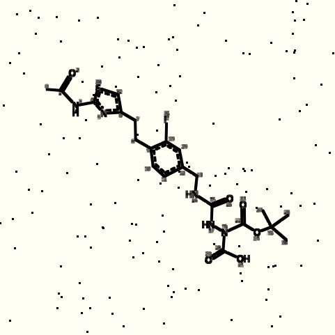 CC(=O)Nc1nc(CCc2ccc(CNC(=O)NN(C(=O)O)C(=O)OC(C)(C)C)cc2F)cs1